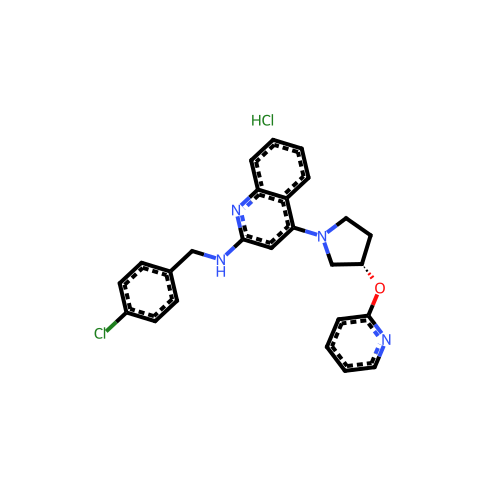 Cl.Clc1ccc(CNc2cc(N3CC[C@H](Oc4ccccn4)C3)c3ccccc3n2)cc1